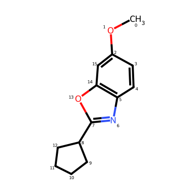 COc1ccc2nc(C3CCCC3)oc2c1